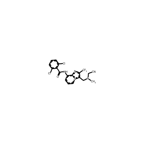 CN(CC#N)Cc1c(C(F)(F)F)nc2c(NC(=O)c3c(Cl)cccc3Cl)cccn12